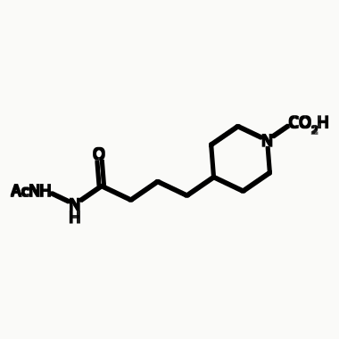 CC(=O)NNC(=O)CCCC1CCN(C(=O)O)CC1